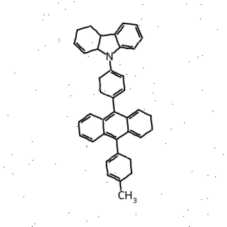 CC1=CC=C(c2c3c(c(C4=CC=C(N5c6ccccc6C6CCC=CC65)CC4)c4ccccc24)=CCCC=3)CC1